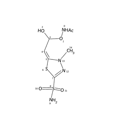 CC(=O)NOC(O)C=C1SC(S(N)(=O)=O)=NN1C